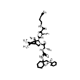 C#CCCNC(=O)C(=O)C(CCC)NC(=O)[C@@H]1[C@@H]2C(CN1C(=O)[C@@H](NC(=O)NC1(CS(=O)(=O)c3ccccc3)CCCCC1)C(C)(C)C)C2(C)C